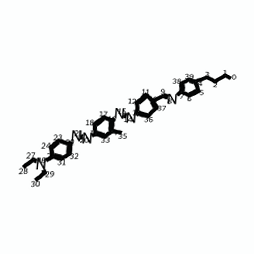 CCCCc1ccc(N=Cc2ccc(N=Nc3ccc(N=Nc4ccc(N(CC)CC)cc4)cc3C)cc2)cc1